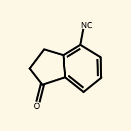 [C-]#[N+]c1cccc2c1CCC2=O